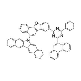 c1ccc(-c2nc(-c3ccc4oc5c6ccccc6c(-n6c7cc8ccccc8cc7c7cc8ccccc8cc76)cc5c4c3)nc(-c3cc4ccccc4c4ccccc34)n2)cc1